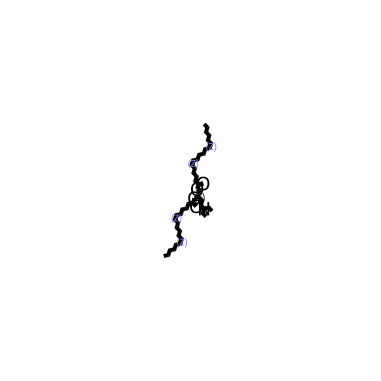 CCCCC/C=C\CCCC/C=C\CCCCC(=O)OC[C@H](CCN(CC)CC)OC(=O)CCCC/C=C\CCCC/C=C\CCCCC